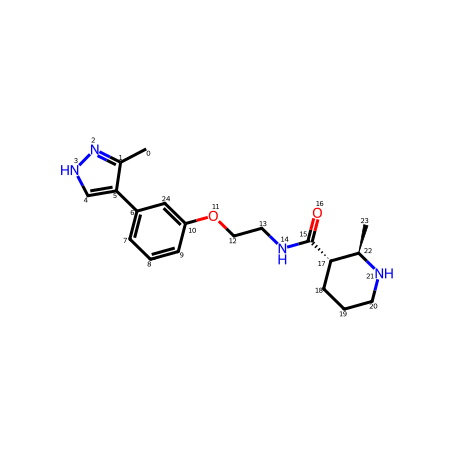 Cc1n[nH]cc1-c1c[c]cc(OCCNC(=O)[C@H]2CCCN[C@@H]2C)c1